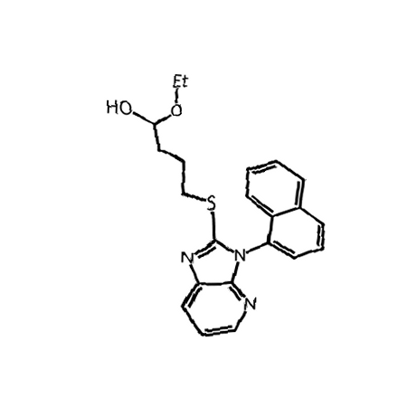 CCOC(O)CCCSc1nc2cccnc2n1-c1cccc2ccccc12